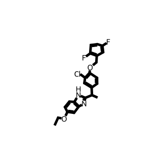 CCOc1ccc2[nH]c(C(C)c3ccc(OCc4cc(F)ccc4F)c(Cl)c3)nc2c1